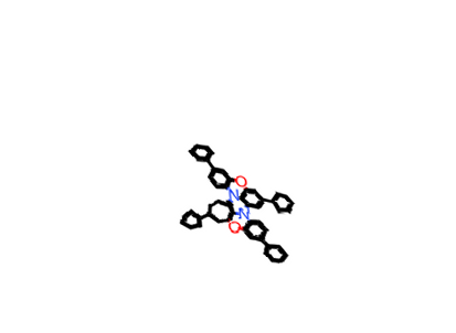 C1=C(c2ccccc2)CC=c2c3c1oc1cc(-c4ccccc4)ccc1n-3c1cc(-c3ccccc3)cc3oc4cc(-c5ccccc5)ccc4n2-c31